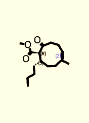 CCCC[C@H]1CC/C(C)=C\CCC(=O)[C@@H]1C(=O)OC